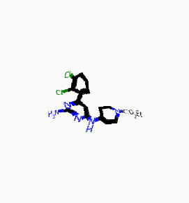 CCOC(=O)N1CCC(Nc2cc(-c3cccc(Cl)c3Cl)nc(N)n2)CC1